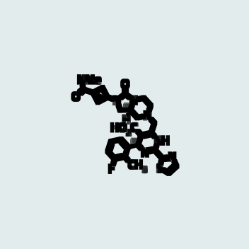 CNC(=O)C12CC(N3C[C@@H]4CN(CC5=C(C(=O)O)[C@H](c6cccc(F)c6C)N=C(c6nccs6)N5)CCN4C3=O)(C1)C2